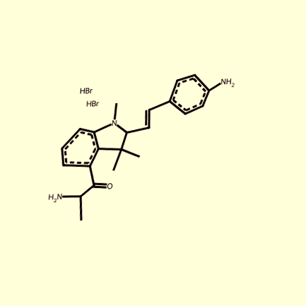 Br.Br.CC(N)C(=O)c1cccc2c1C(C)(C)C(C=Cc1ccc(N)cc1)N2C